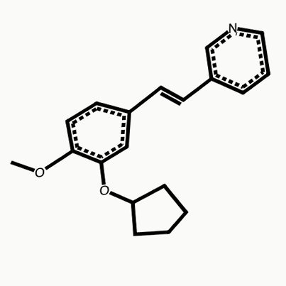 COc1ccc(C=Cc2cccnc2)cc1OC1CCCC1